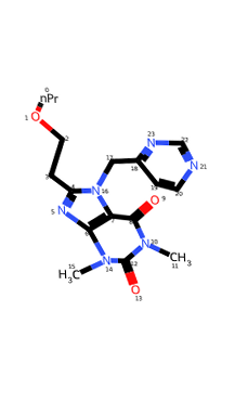 CCCOCCc1nc2c(c(=O)n(C)c(=O)n2C)n1Cc1ccncn1